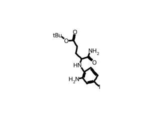 CC(C)(C)OC(=O)CCC(Nc1ccc(I)cc1N)C(N)=O